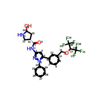 O=C(Nc1cc(-c2cccc(COC(C(F)(F)F)C(F)(F)F)c2)n(-c2ccccc2)n1)[C@@H]1CNC(O)C1